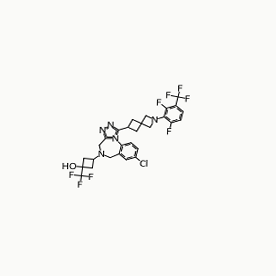 OC1(C(F)(F)F)CC(N2Cc3cc(Cl)ccc3-n3c(nnc3C3CC4(C3)CN(c3c(F)ccc(C(F)(F)F)c3F)C4)C2)C1